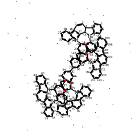 C1=CC2c3ccccc3N(c3ccccc3)C2c2c1c1ccccc1n2-c1cc(-c2ccc(-c3ccc(-c4cc(-n5c6ccccc6c6ccc7c8ccccc8n(-c8ccccc8)c7c65)cc(-n5c6ccccc6c6ccc7c8ccccc8n(-c8ccccc8)c7c65)c4)cc3)cc2)cc(-n2c3ccccc3c3ccc4c5ccccc5n(-c5ccccc5)c4c32)c1